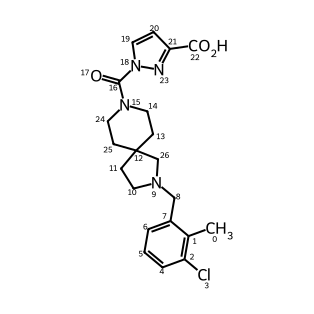 Cc1c(Cl)cccc1CN1CCC2(CCN(C(=O)n3ccc(C(=O)O)n3)CC2)C1